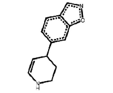 C1=CC(c2ccc3cnoc3c2)CCN1